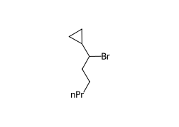 CCCCCC(Br)C1CC1